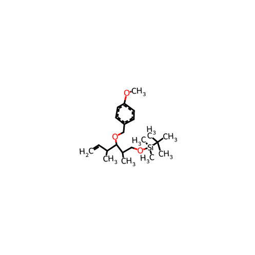 C=CC(C)C(OCc1ccc(OC)cc1)C(C)CO[Si](C)(C)C(C)(C)C